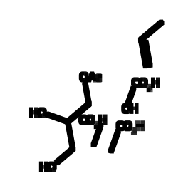 C=CC.CC(=O)O.CC(=O)O.CC(=O)OCC(O)CO.O=C(O)O